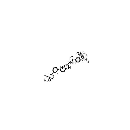 Cc1ccc(C(=O)NCc2cc3nc(-c4cccc(N5CCC6(COCCO6)C5)n4)ccc3cn2)cc1S(C)(=O)=O